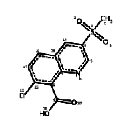 CS(=O)(=O)c1cnc2c(C(=O)O)c(Cl)ccc2c1